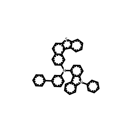 c1ccc(-c2cccc(N(c3ccc4ccc5sc6ccccc6c5c4c3)c3cccc4c3c3ccccc3n4-c3ccccc3)c2)cc1